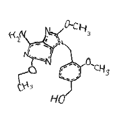 CCOc1nc(N)c2nc(OC)n(Cc3ccc(CO)cc3OC)c2n1